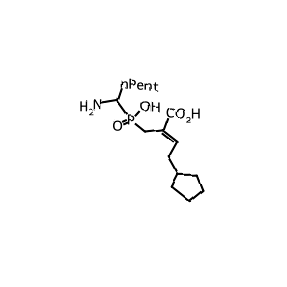 CCCCCC(N)P(=O)(O)CC(=CCC1CCCC1)C(=O)O